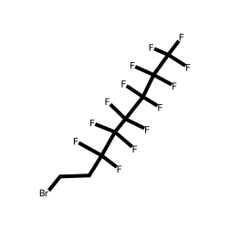 FC(F)(F)C(F)(F)C(F)(F)C(F)(F)C(F)(F)C(F)(F)CCBr